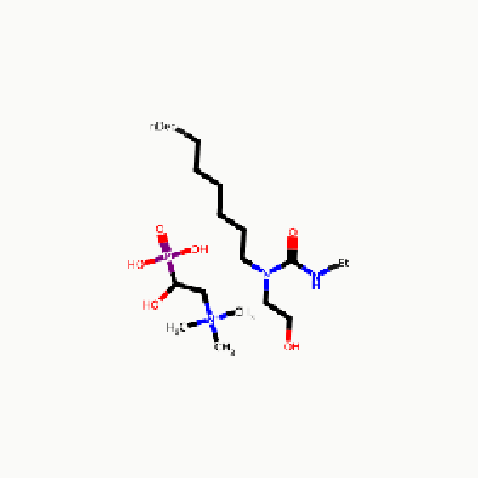 CCCCCCCCCCCCCCCCN(CCO)C(=O)NCC.C[N+](C)(C)CC(O)P(=O)(O)O